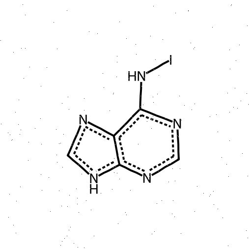 INc1ncnc2[nH]cnc12